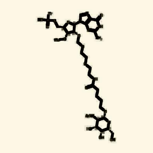 CC(=O)N[C@H]1[C@H](OCCCCC(=O)NCCOCCOCO[C@@H]2[C@H](OC(C)(C)C)[C@@H](COP(=O)(O)C(C)C)O[C@H]2n2cnc3c(=O)[nH]c(N)nc32)O[C@H](CO)[C@H](O)[C@@H]1O